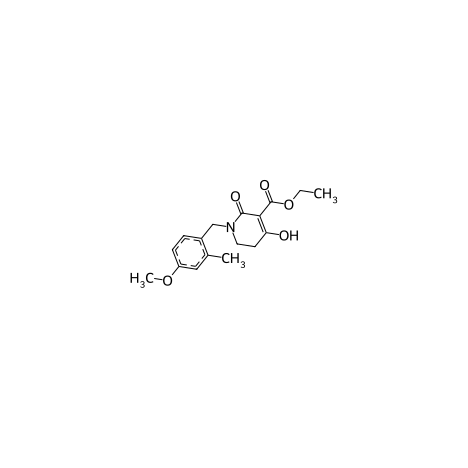 CCOC(=O)C1=C(O)CCN(Cc2ccc(OC)cc2C)C1=O